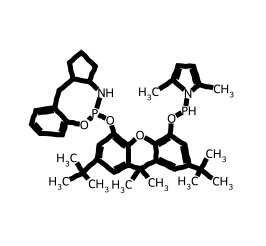 Cc1ccc(C)n1POc1cc(C(C)(C)C)cc2c1Oc1c(OP3NC4CCCC4Cc4ccccc4O3)cc(C(C)(C)C)cc1C2(C)C